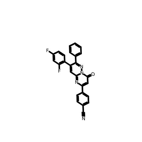 N#Cc1ccc(-c2cc(=O)n3nc(-c4ccccc4)c(-c4ccc(F)cc4F)cc3n2)cc1